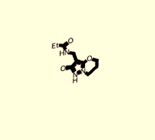 CCC(=O)NCc1c2n([nH]c1=O)CCCO2